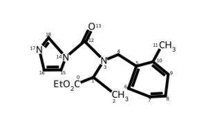 CCOC(=O)C(C)N(Cc1ccccc1C)C(=O)n1ccnc1